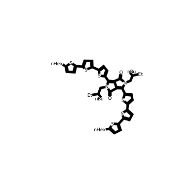 CCCCCCc1ccc(-c2ccc(-c3ccc(C4=C5C(=O)N(CC(CC)CCCC)C(c6ccc(-c7ccc(-c8ccc(CCCCCC)s8)s7)s6)=C5C(=O)N4CC(CC)CCCC)s3)s2)s1